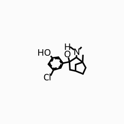 CN(C)C1C2(C)CCC(C2)CC1(O)c1cc(O)cc(Cl)c1